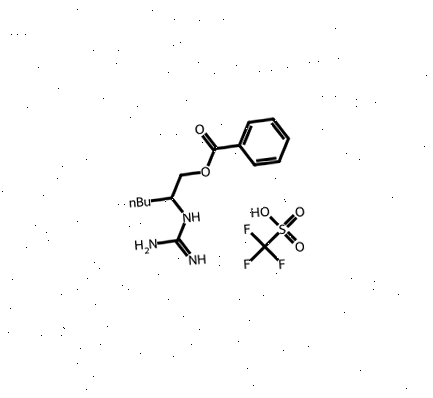 CCCCC(COC(=O)c1ccccc1)NC(=N)N.O=S(=O)(O)C(F)(F)F